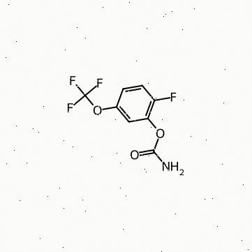 NC(=O)Oc1cc(OC(F)(F)F)ccc1F